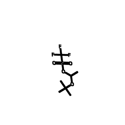 CC(OC(C)(C)C)OS(=O)(=O)C(F)(F)F